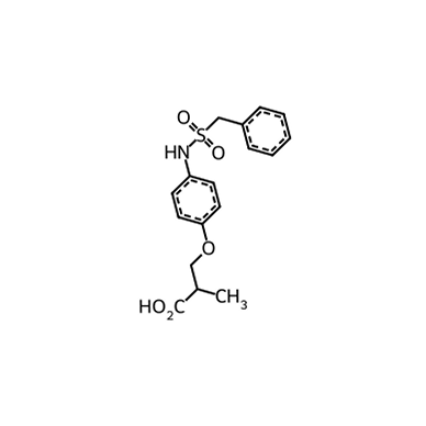 CC(COc1ccc(NS(=O)(=O)Cc2ccccc2)cc1)C(=O)O